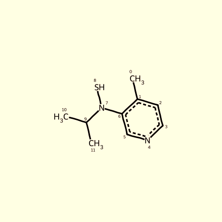 Cc1ccncc1N(S)C(C)C